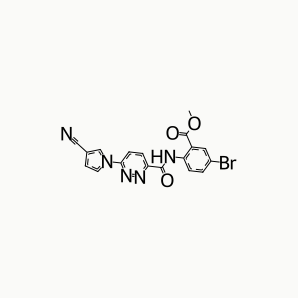 COC(=O)c1cc(Br)ccc1NC(=O)c1ccc(-n2ccc(C#N)c2)nn1